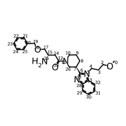 COCCCn1c([C@@H]2CCCN(C(=O)C[C@H](N)COCc3ccccc3)C2)nc2ccccc21